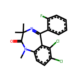 CN1C(=O)C(C)(C)N=C(c2ccccc2F)c2c1ccc(Cl)c2Cl